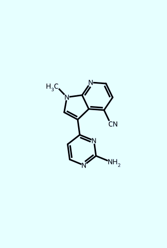 Cn1cc(-c2ccnc(N)n2)c2c(C#N)ccnc21